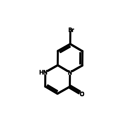 O=C1C=CNC2C=C(Br)C=CN12